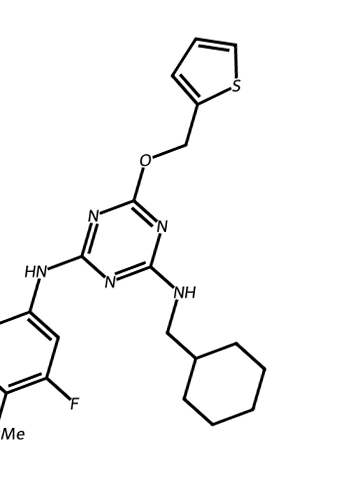 COc1ccc(Nc2nc(NCC3CCCCC3)nc(OCc3cccs3)n2)cc1F